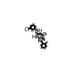 Cc1ccccc1-c1nc2[nH]c(CNc3cccc(Cl)c3)cc(=O)n2n1